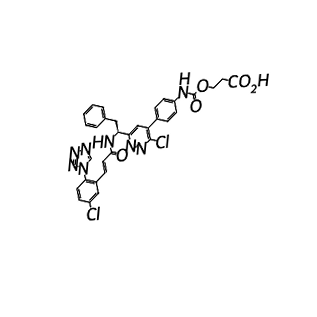 O=C(O)CCOC(=O)Nc1ccc(-c2cc([C@H](Cc3ccccc3)NC(=O)C=Cc3cc(Cl)ccc3-n3cnnn3)nnc2Cl)cc1